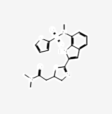 CN(C)C(=O)CC1CN=C(c2cc3cccc(N(C)S(=O)(=O)c4cccs4)c3[nH]2)S1